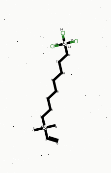 C=C[Si](C)(C)CCCCCCCC[Si](Cl)(Cl)Cl